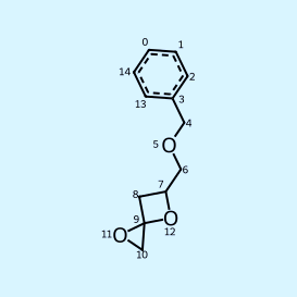 c1ccc(COCC2CC3(CO3)O2)cc1